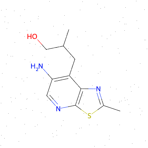 Cc1nc2c(CC(C)CO)c(N)cnc2s1